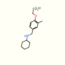 Cc1cc(CNC2CCCCC2)ccc1OCC(=O)O